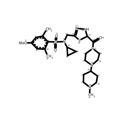 COc1cc(C)c(S(=O)(=O)N(CC2=NNC(C(=O)N3CCN(C4CCN(C)CC4)CC3)S2)C2CC2)c(C)c1